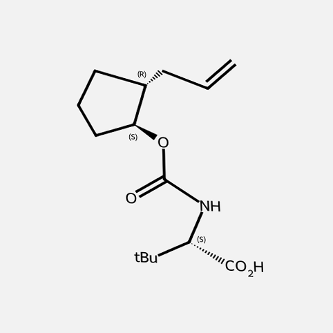 C=CC[C@H]1CCC[C@@H]1OC(=O)N[C@H](C(=O)O)C(C)(C)C